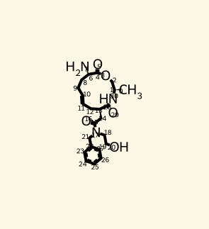 C[C@H]1COC(=O)[C@@H](N)CC/C=C/C[C@H](CC(=O)N(CCO)Cc2ccccc2)C(=O)N1